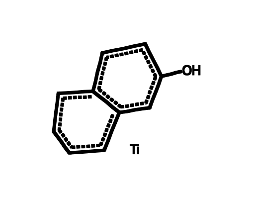 Oc1ccc2ccccc2c1.[Ti]